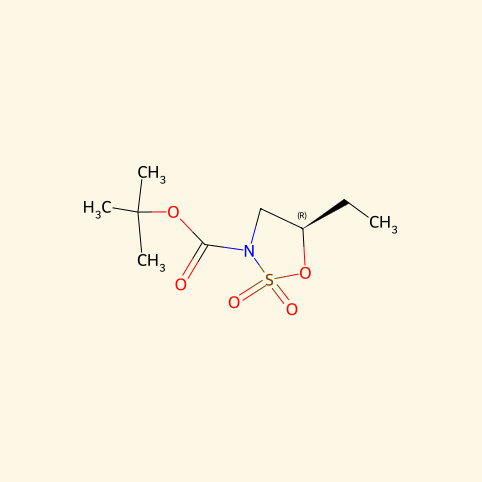 CC[C@@H]1CN(C(=O)OC(C)(C)C)S(=O)(=O)O1